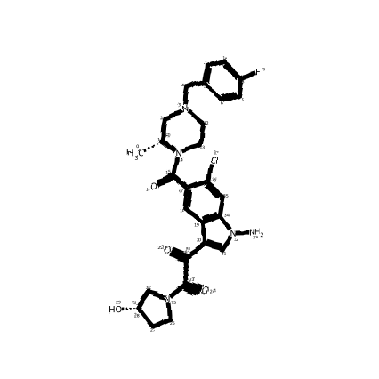 C[C@@H]1CN(Cc2ccc(F)cc2)CCN1C(=O)c1cc2c(C(=O)C(=O)N3CC[C@H](O)C3)cn(N)c2cc1Cl